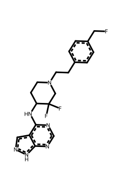 FCc1ccc(CCN2CCC(Nc3ncnc4[nH]ncc34)C(F)(F)C2)cc1